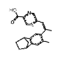 C/C(=C/c1cnc(C(=O)O)cn1)c1cc2c(cc1C)C1CCC2C1